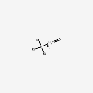 C=O.CC[N+](C)(CC)CC